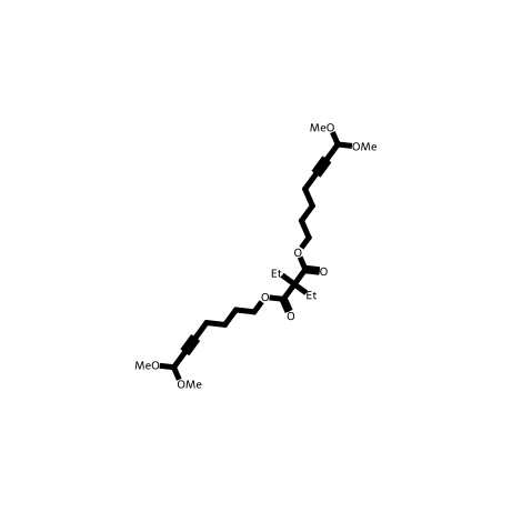 CCC(CC)(C(=O)OCCCCC#CC(OC)OC)C(=O)OCCCCC#CC(OC)OC